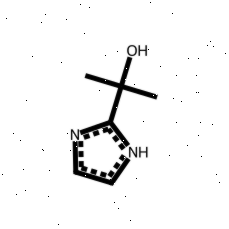 CC(C)(O)c1ncc[nH]1